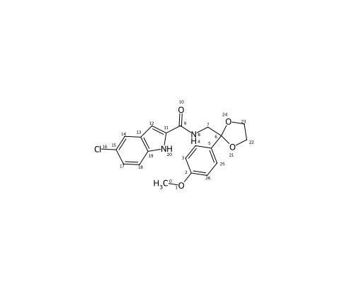 COc1ccc(C2(CNC(=O)c3cc4cc(Cl)ccc4[nH]3)OCCO2)cc1